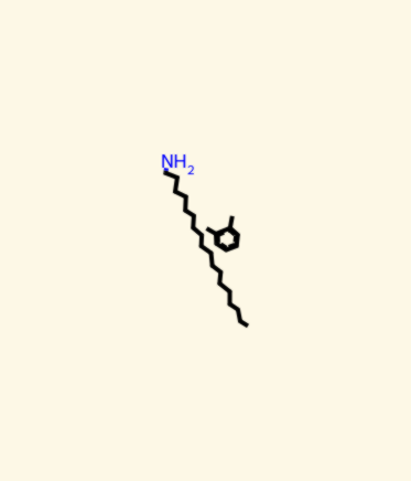 CCCCCCCCCCCCCCCCCCN.Cc1ccccc1C